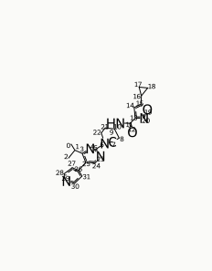 CC(C)c1nc(N2CCC(NC(=O)c3cc(C4CC4)on3)CC2)ncc1-c1ccncc1